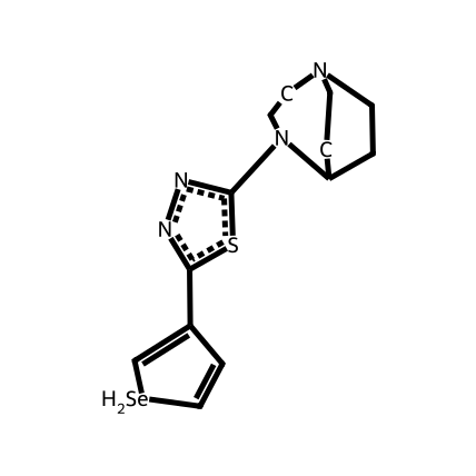 C1=CC(c2nnc(N3CCN4CCC3CC4)s2)=C[SeH2]1